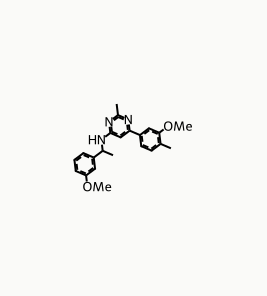 COc1cccc(C(C)Nc2cc(-c3ccc(C)c(OC)c3)nc(C)n2)c1